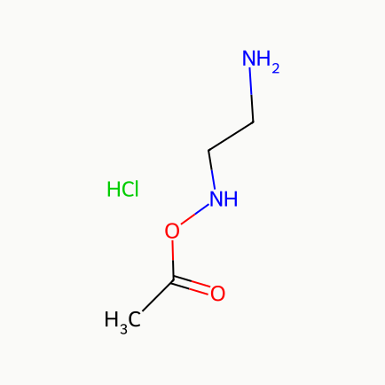 CC(=O)ONCCN.Cl